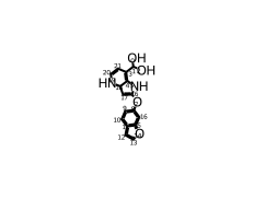 OC(O)C1=C2NC(Oc3ccc4ccoc4c3)=CC2NC=C1